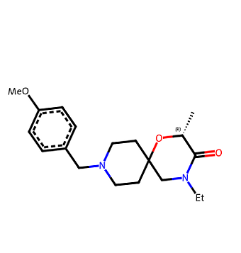 CCN1CC2(CCN(Cc3ccc(OC)cc3)CC2)O[C@H](C)C1=O